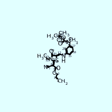 C=CCOC(=O)C(C#N)=c1sc(=CNc2cccc(N(C)C(=O)OC(C)(C)C)c2)c(=O)n1CC